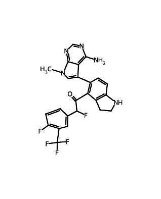 Cn1cc(-c2ccc3c(c2C(=O)C(F)c2ccc(F)c(C(F)(F)F)c2)CCN3)c2c(N)ncnc21